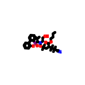 CCCCOC(=O)C(CC(C)(C)ON(CCO)C(C(C)C)P1(=O)Oc2ccccc2-c2ccccc21)C(C)(C)C(C)(C)C#N